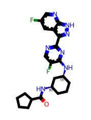 O=C(N[C@@H]1CCC[C@H](Nc2nc(-c3n[nH]c4ncc(F)cc34)ncc2F)C1)C1CCCC1